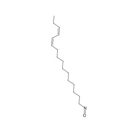 CC/C=C\C=C/CCCCCCCCCCN=O